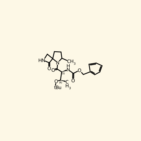 CC1CCC2(CNC2=O)N1C(=O)[C@@H](NC(=O)OCc1ccccc1)[C@@H](C)OC(C)(C)C